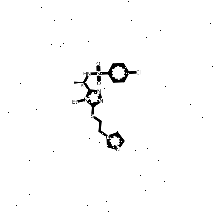 CCn1c(SCCn2ccnc2)nnc1[C@@H](C)NS(=O)(=O)c1ccc(Cl)cc1